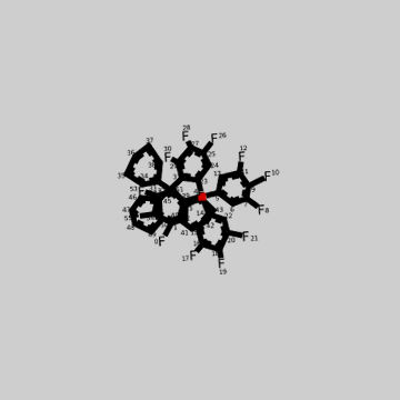 Fc1cc([B-](c2cc(F)c(F)c(F)c2)(c2cc(F)c(F)c(F)c2)c2cc(F)c(F)c(F)c2C(c2ccccc2)(c2ccccc2)c2ccccc2)cc(F)c1F